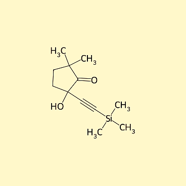 CC1(C)CCC(O)(C#C[Si](C)(C)C)C1=O